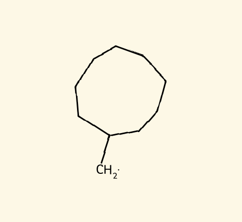 [CH2]C1CCCCCCCC1